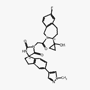 Cn1cc(-c2ccc3c(c2)CC[C@]32NC(=O)N(CC(=O)N3Cc4ccc(F)cc4CC[C@H]3C3(O)CC3)C2=O)cn1